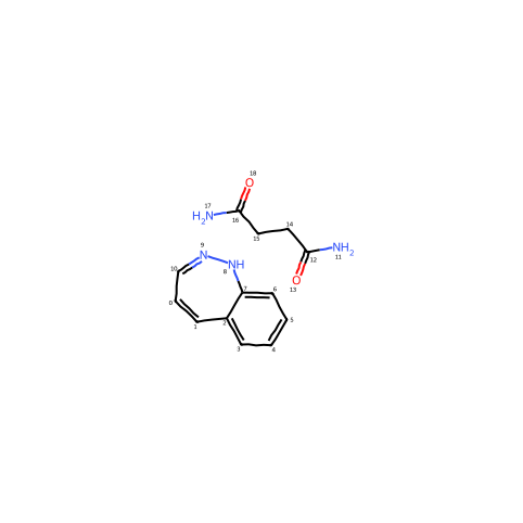 C1=Cc2ccccc2NN=C1.NC(=O)CCC(N)=O